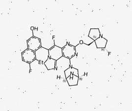 CCc1c(F)ccc2cc(O)cc(C3=C(F)c4nc(OC[C@@]56CCCN5C[C@H](F)C6)nc(N5C[C@H]6CC[C@@H](C5)N6)c4C4=NCCN43)c12